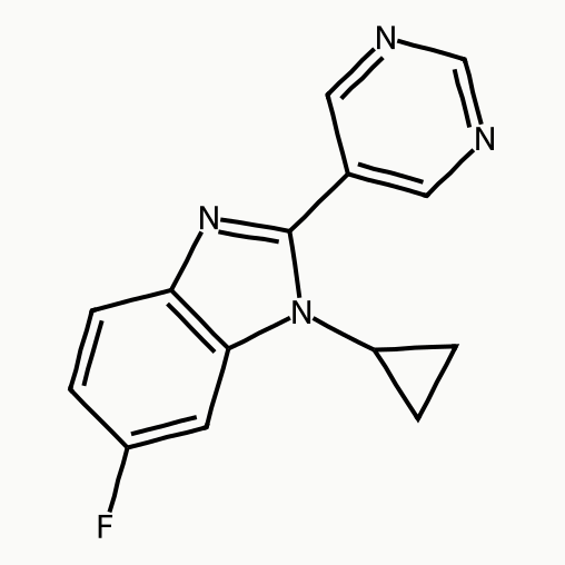 Fc1ccc2nc(-c3cncnc3)n(C3CC3)c2c1